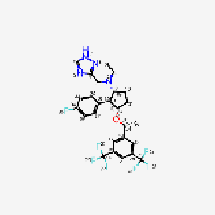 CCN(Cc1nc[nH]n1)[C@@H]1CC[C@H](O[C@H](C)c2cc(C(F)(F)F)cc(C(F)(F)F)c2)[C@H]1c1ccc(F)cc1